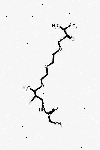 CCC(=O)NCC(F)C(C)OCCOCCOCC(=O)C(C)C